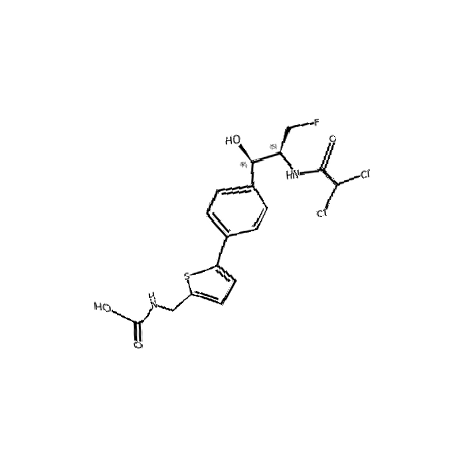 O=C(O)NCc1ccc(-c2ccc([C@@H](O)[C@@H](CF)NC(=O)C(Cl)Cl)cc2)s1